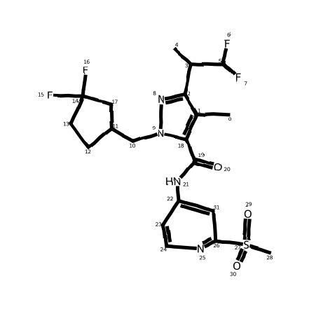 Cc1c(C(C)C(F)F)nn(CC2CCC(F)(F)C2)c1C(=O)Nc1ccnc(S(C)(=O)=O)c1